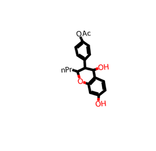 CCCC1Oc2cc(O)ccc2C(O)C1c1ccc(OC(C)=O)cc1